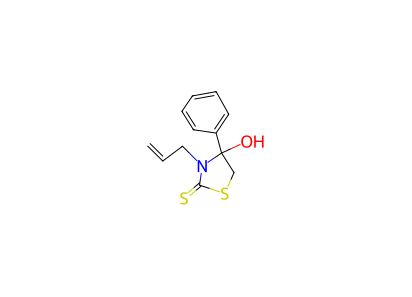 C=CCN1C(=S)SCC1(O)c1ccccc1